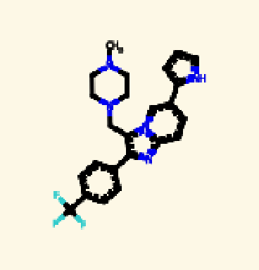 CN1CCN(Cc2c(-c3ccc(C(F)(F)F)cc3)nc3ccc(-c4ccc[nH]4)cn23)CC1